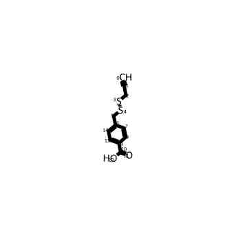 C#CCSSCc1ccc(C(=O)O)cc1